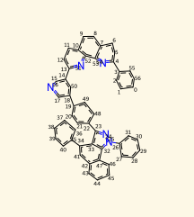 c1ccc(-c2ccc3ccc4ccc(-c5cncc(-c6ccc(-c7nn(-c8ccccc8)c8c7c(-c7ccccc7)cc7ccccc78)cc6)c5)nc4c3n2)cc1